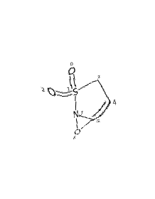 O=S1(=O)CC=C2ON21